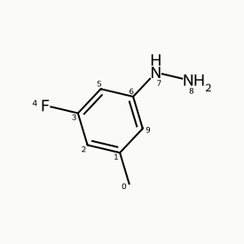 Cc1cc(F)cc(NN)c1